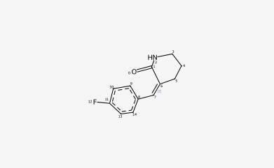 O=C1NCCC/C1=C/c1ccc(F)cc1